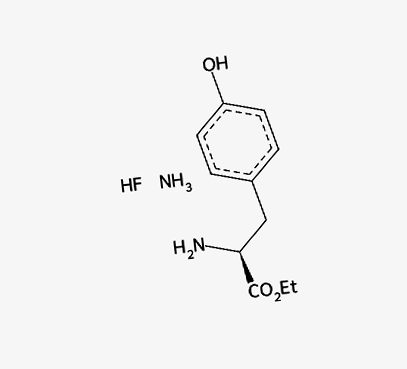 CCOC(=O)[C@@H](N)Cc1ccc(O)cc1.F.N